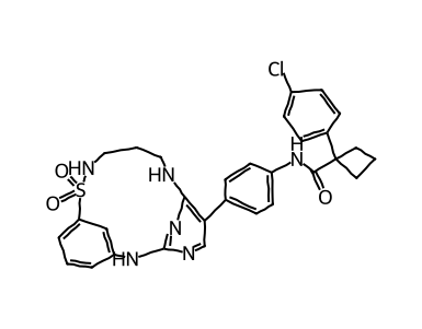 O=C(Nc1ccc(-c2cnc3nc2NCCCNS(=O)(=O)c2cccc(c2)N3)cc1)C1(c2ccc(Cl)cc2)CCC1